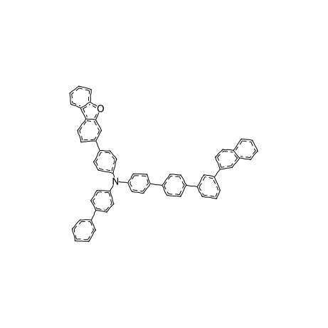 c1ccc(-c2ccc(N(c3ccc(-c4ccc(-c5cccc(-c6ccc7ccccc7c6)c5)cc4)cc3)c3ccc(-c4ccc5c(c4)oc4ccccc45)cc3)cc2)cc1